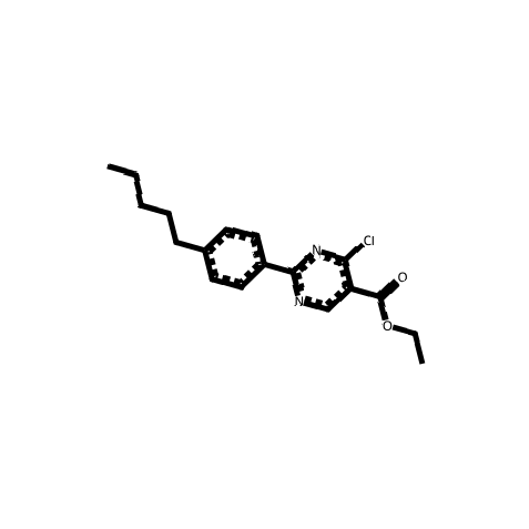 CCCCCc1ccc(-c2ncc(C(=O)OCC)c(Cl)n2)cc1